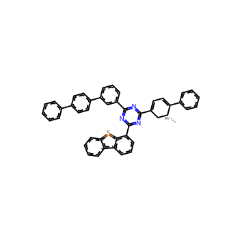 C[C@@H]1CC(c2nc(-c3cccc(-c4ccc(-c5ccccc5)cc4)c3)nc(-c3cccc4c3sc3ccccc34)n2)=CC=C1c1ccccc1